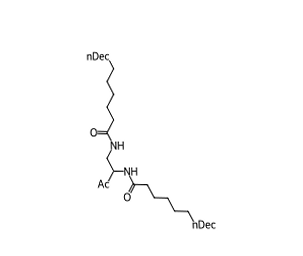 CCCCCCCCCCCCCCCC(=O)NCC(NC(=O)CCCCCCCCCCCCCCC)C(C)=O